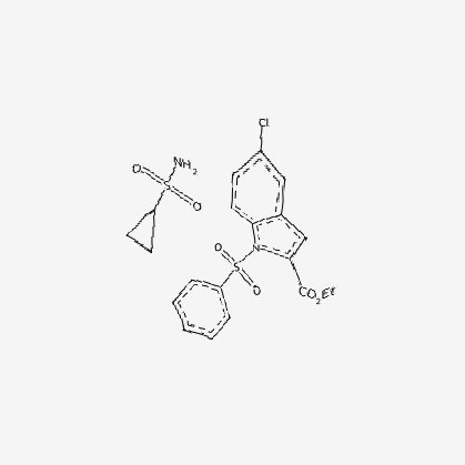 CCOC(=O)c1cc2cc(Cl)ccc2n1S(=O)(=O)c1ccccc1.NS(=O)(=O)C1CC1